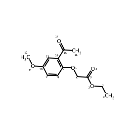 CCOC(=O)COc1ccc(OC)cc1C(C)=O